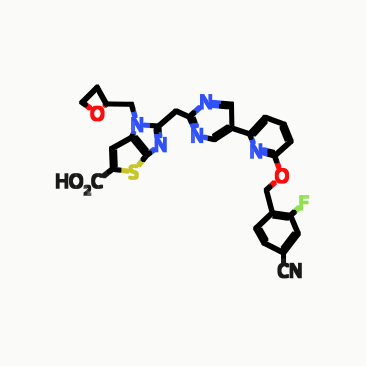 N#Cc1ccc(COc2cccc(-c3cnc(Cc4nc5sc(C(=O)O)cc5n4CC4CCO4)nc3)n2)c(F)c1